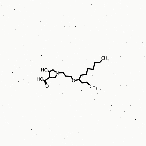 CCCCCCCC(CCC)OCCCN1CC(O)C(C(=O)O)C1